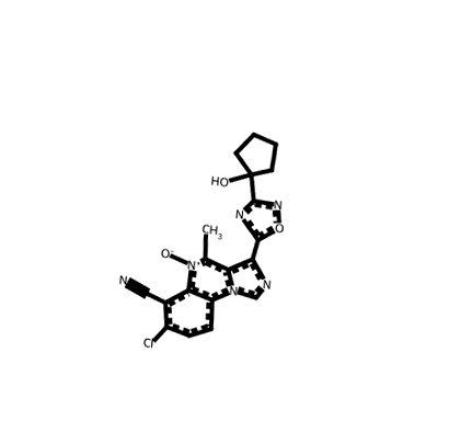 Cc1c2c(-c3nc(C4(O)CCCC4)no3)ncn2c2ccc(Cl)c(C#N)c2[n+]1[O-]